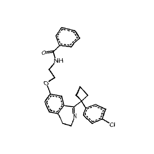 O=C(NCCOc1ccc2c(c1)C(C1(c3ccc(Cl)cc3)CCC1)=NCC2)c1ccccc1